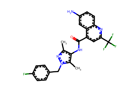 Cc1nn(Cc2ccc(F)cc2)c(C)c1NC(=O)c1cc(C(F)(F)F)nc2ccc(N)cc12